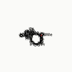 CC[C@H](C)[C@H]1NC(=O)[C@@H](NC(=O)[C@@H](CC(C)C)N(C)C(=O)[C@@H]2CCCN2C(=O)[C@H](C)NC(=O)[C@@H](Cc2ccccc2)NC(=O)CC(C)(C)C)[C@@H](C)OC(=O)[C@H](Cc2ccc(OC)cc2)N(C)C(=O)[C@@H]2CCCN2C(=O)[C@H](CC(C)C)NC(=O)[C@@H](C)C(=O)[C@H](C(C)C)OC(=O)C[C@@H]1O